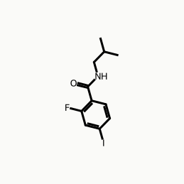 CC(C)CNC(=O)c1ccc(I)cc1F